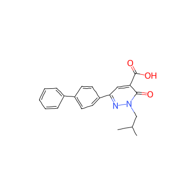 CC(C)Cn1nc(-c2ccc(-c3ccccc3)cc2)cc(C(=O)O)c1=O